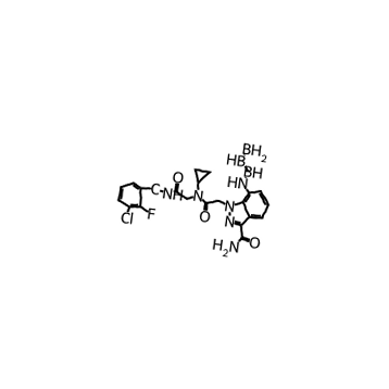 BBBNc1cccc2c(C(N)=O)nn(CC(=O)N(CC(=O)NCc3cccc(Cl)c3F)C3CC3)c12